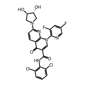 O=C(Nc1c(Cl)cccc1Cl)c1cn(-c2ncc(F)cc2F)c2nc(N3C[C@@H](O)[C@H](O)C3)ccc2c1=O